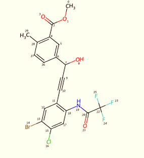 COC(=O)c1cc(C(O)C#Cc2cc(Br)c(Cl)cc2NC(=O)C(F)(F)F)ccc1C